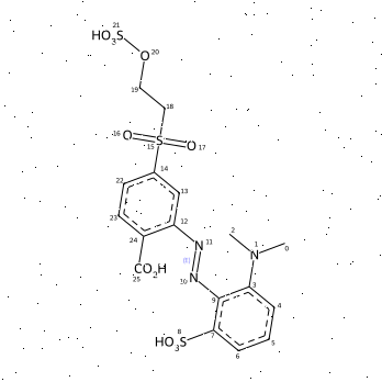 CN(C)c1cccc(S(=O)(=O)O)c1/N=N/c1cc(S(=O)(=O)CCOS(=O)(=O)O)ccc1C(=O)O